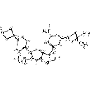 Cc1nc(N2CC(C)(O)C2)cc(-n2ncc3cc(C)c(C4CCN(C5COC5)CC4F)cc32)n1